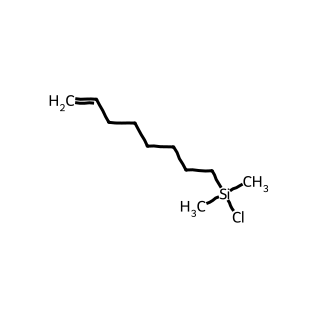 C=CCCCCCC[Si](C)(C)Cl